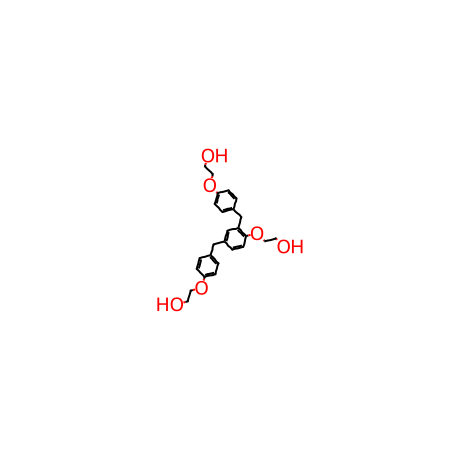 OCCOc1ccc(Cc2ccc(OCCO)c(Cc3ccc(OCCO)cc3)c2)cc1